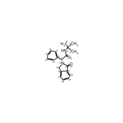 CC(C)(C)NC(=O)[C@@H](c1ccccc1)N1Cc2ccccc2C1=O